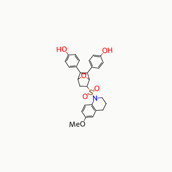 COc1ccc2c(c1)CCCN2S(=O)(=O)C1CC2OC1C(c1ccc(O)cc1)=C2c1ccc(O)cc1